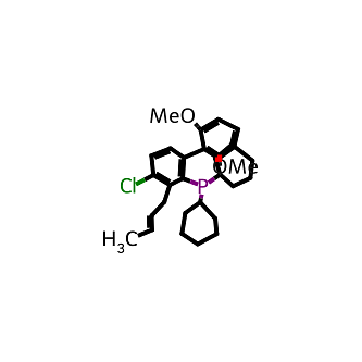 CC=CCc1c(Cl)ccc(-c2c(OC)cccc2OC)c1P(C1CCCCC1)C1CCCCC1